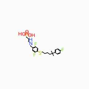 CC(C)(CCCCSc1cc(F)c(CNCCCP(=O)(O)O)cc1F)c1ccc(F)cc1